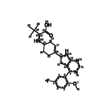 COc1ccc(F)cc1-c1ncnc2[nH]c(C3=CCC(N[C@H](C(=O)O)C(C)(C)C)CC3)cc12